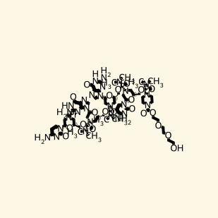 CC(C)N1C[C@@H](COP(=O)(N(C)C)N2C[C@@H](COP(=O)(N(C)C)N3C[C@@H](COP(=O)(N(C)C)N4C[C@@H](COP(=O)(N(C)C)N5CCN(C(=O)OCCOCCOCCO)CC5)O[C@@H](n5ccc(N)nc5=O)C4)O[C@@H](n4cnc5c(=O)[nH]c(N)nc54)C3)O[C@@H](n3cnc4c(=O)[nH]c(N)nc43)C2)O[C@@H](n2ccc(N)nc2=O)C1